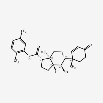 CCC[C@H]1[C@@H]2CC[C@H](C(=O)Nc3cc(C(F)(F)F)ccc3C(F)(F)F)[C@@]2(C)CC[C@@H]1[C@]1(C)C=CC(=O)CC1